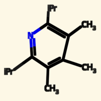 Cc1c(C(C)C)nc(C(C)C)c(C)c1C